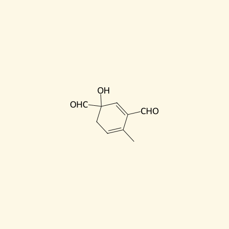 CC1=CCC(O)(C=O)C=C1C=O